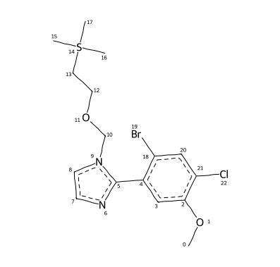 COc1cc(-c2nccn2COCCS(C)(C)C)c(Br)cc1Cl